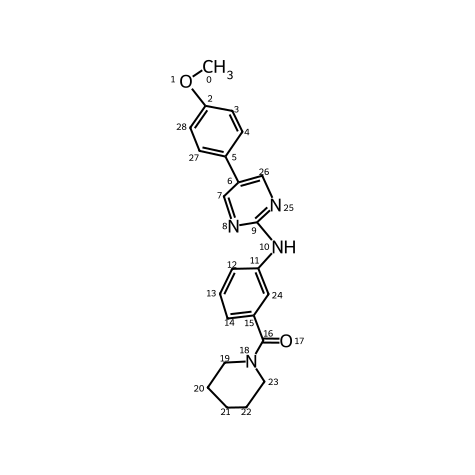 COc1ccc(-c2cnc(Nc3cccc(C(=O)N4CCCCC4)c3)nc2)cc1